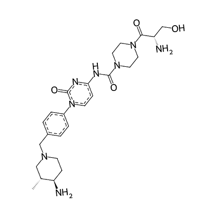 C[C@@H]1CN(Cc2ccc(-n3ccc(NC(=O)N4CCN(C(=O)[C@@H](N)CO)CC4)nc3=O)cc2)CC[C@H]1N